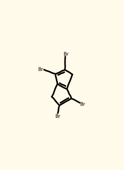 BrC1=C(Br)C2=C(C1)C(Br)=C(Br)C2